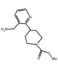 CC(C)(C)OC(=O)N1CCC(c2ncccc2CN)CC1